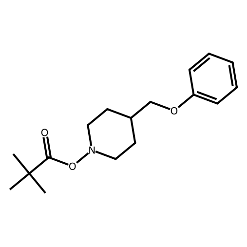 CC(C)(C)C(=O)ON1CCC(COc2ccccc2)CC1